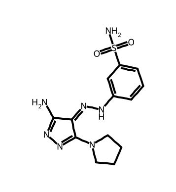 NC1=NN=C(N2CCCC2)/C1=N\Nc1cccc(S(N)(=O)=O)c1